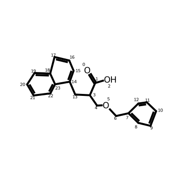 O=C(O)C(COCc1ccccc1)Cc1cccc2ccccc12